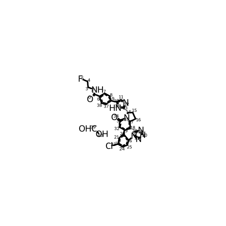 O=C(NCCF)c1ccc(-c2cnc([C@@H]3CCc4cc(-c5cc(Cl)ccc5-n5cnnn5)cc(=O)n43)[nH]2)cc1.O=CO